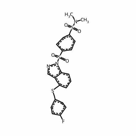 CN(C)S(=O)(=O)c1ccc(S(=O)(=O)n2ncc3c(Sc4ccc(F)cc4)cccc32)cc1